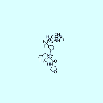 Cc1c(C(=O)NC2CCOCC2)cc(-c2ccc([S+]([O-])NC(C)(C)C)c(C(F)(F)F)c2)n1CC1CCC1